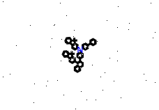 CC1(C)c2ccccc2-c2ccc(C3=C(c4ccc(N(c5ccc(-c6ccccc6)cc5)c5ccc6c(c5)C(C)(C)C5C=CC=CC65)cc4)CCc4ccccc43)cc21